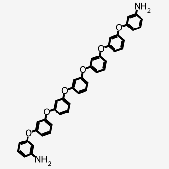 Nc1cccc(Oc2cccc(Oc3cccc(Oc4cccc(Oc5cccc(Oc6cccc(Oc7cccc(N)c7)c6)c5)c4)c3)c2)c1